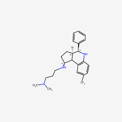 CN(C)CCCN[C@H]1CC[C@@H]2C1c1cc(C(F)(F)F)ccc1N[C@@H]2c1ccccc1